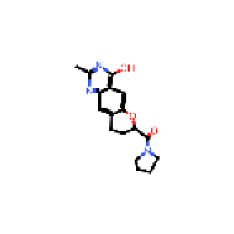 Cc1nc(O)c2cc3c(cc2n1)CCC(C(=O)N1CCCC1)O3